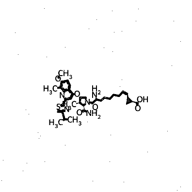 COc1ccc2c(O[C@H]3CN(C(=O)[C@@H](N)CCCCC/C=C\[C@@H]4C[C@@H]4C(=O)O)[C@H](C(N)=O)[C@@H]3C)cc(-c3nc(C(C)C)cs3)nc2c1C